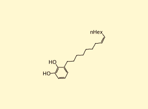 CCCCCC/C=C\CCCCCCCc1cccc(O)c1O